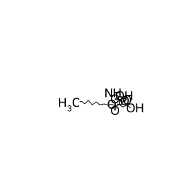 CCCCCCCCCOC(=O)C(CC(=O)O)S(=O)(=O)O.N